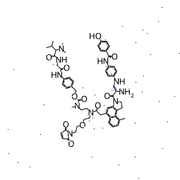 Cc1cccc2c(CC(=O)N(CCOCCN3C(=O)C=CC3=O)CCN(C)C(=O)OCc3ccc(NC(=O)CNC(=O)C(C(C)C)N(C)C)cc3)cc3c(c12)CCN3C(=O)/C(N)=C/Nc1ccc(NC(=O)c2ccc(O)cc2)cc1